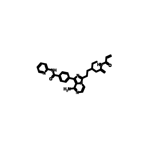 C=CC(=O)NC(=C)CC(CC)CCc1nc(-c2ccc(C(=O)Nc3ccccn3)cc2)c2c(N)nccn12